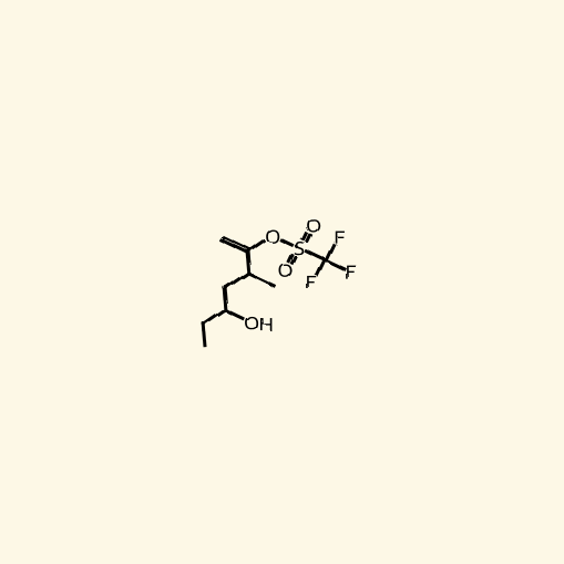 C=C(OS(=O)(=O)C(F)(F)F)C(C)CC(O)CC